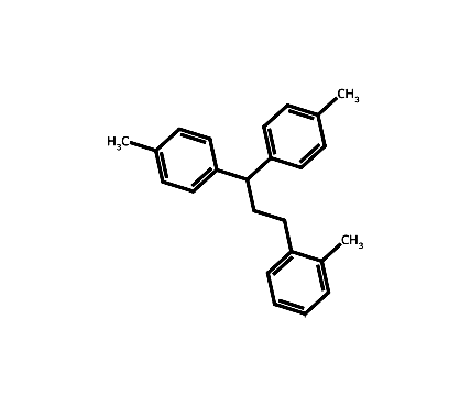 Cc1ccc(C(CCc2cc[c]cc2C)c2ccc(C)cc2)cc1